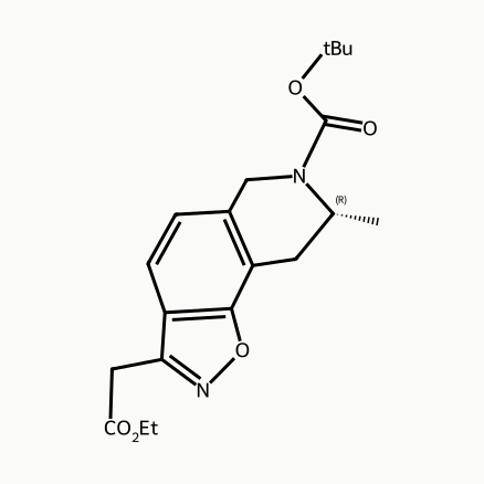 CCOC(=O)Cc1noc2c3c(ccc12)CN(C(=O)OC(C)(C)C)[C@H](C)C3